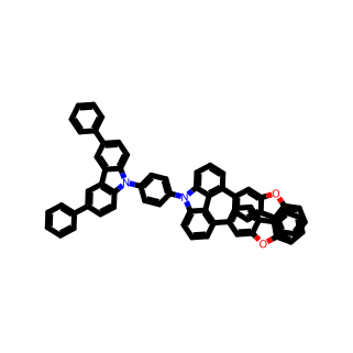 c1ccc(-c2ccc3c(c2)c2cc(-c4ccccc4)ccc2n3-c2ccc(-n3c4cccc(-c5ccc6c(c5)oc5ccccc56)c4c4c(-c5ccc6c(c5)oc5ccccc56)cccc43)cc2)cc1